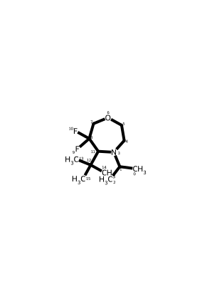 CC(C)N1CCOCC(F)(F)C1C(C)(C)C